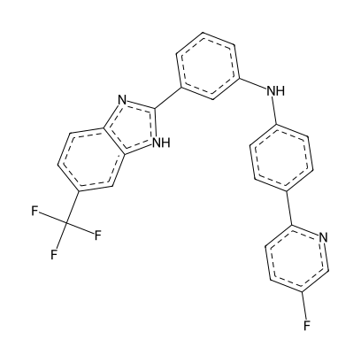 Fc1ccc(-c2ccc(Nc3cccc(-c4nc5ccc(C(F)(F)F)cc5[nH]4)c3)cc2)nc1